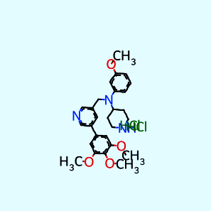 COc1cccc(N(Cc2cncc(-c3cc(OC)c(OC)c(OC)c3)c2)C2CCNCC2)c1.Cl.Cl